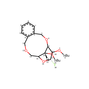 CCCCOC1C2OCc3ccccc3COCC(O[C@H]1F)[C@H]2OCCCC